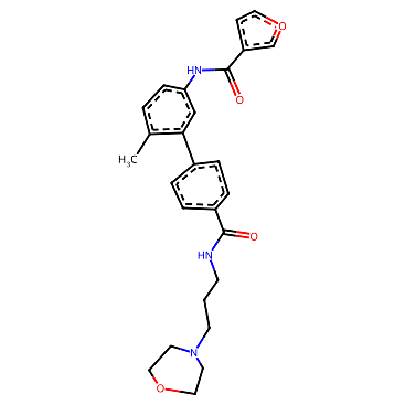 Cc1ccc(NC(=O)c2ccoc2)cc1-c1ccc(C(=O)NCCCN2CCOCC2)cc1